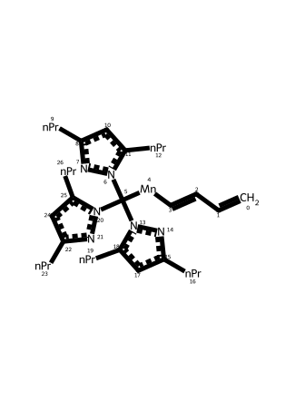 C=CC=[CH][Mn][C](n1nc(CCC)cc1CCC)(n1nc(CCC)cc1CCC)n1nc(CCC)cc1CCC